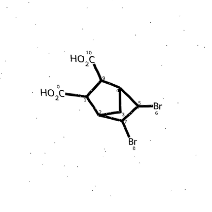 O=C(O)C1C2CC(C(Br)C2Br)C1C(=O)O